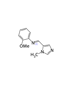 COc1ccccc1/N=C/c1cncn1C